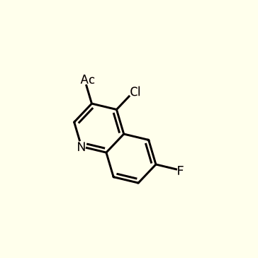 CC(=O)c1cnc2ccc(F)cc2c1Cl